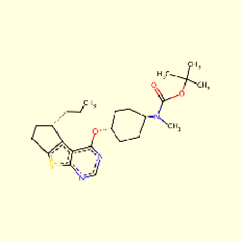 CCC[C@H]1CCc2sc3ncnc(O[C@H]4CC[C@H](N(C)C(=O)OC(C)(C)C)CC4)c3c21